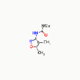 CNC(=O)Nc1noc(C)c1C